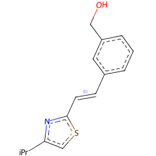 CC(C)c1csc(/C=C/c2cccc(CO)c2)n1